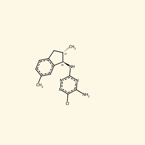 Cc1ccc2c(c1)[C@H](Nc1nnc(Cl)c(N)n1)[C@@H](C)C2